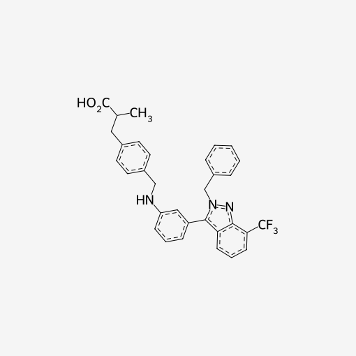 CC(Cc1ccc(CNc2cccc(-c3c4cccc(C(F)(F)F)c4nn3Cc3ccccc3)c2)cc1)C(=O)O